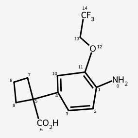 Nc1ccc(C2(C(=O)O)CCC2)cc1OCC(F)(F)F